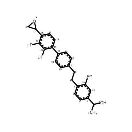 CC(O)c1ccc(CCc2ccc(-c3ccc(C4CO4)c(F)c3F)cc2)c(F)c1